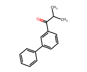 CC(C)C(=O)c1cccc(-c2ccccc2)c1